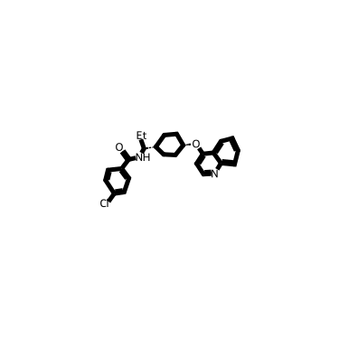 CCC(NC(=O)c1ccc(Cl)cc1)[C@H]1CC[C@@H](Oc2ccnc3ccccc23)CC1